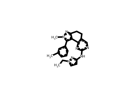 CCn1ccc(Nc2ncc3c(n2)-c2c(nn(C)c2-c2cccc(C)c2)CC3)n1